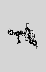 C[C@H](NC(=O)[C@@H]1C[C@@H](F)CN1C(=O)CNC(=O)c1ccc2cc(F)ccc2n1)c1ccc(N2CCN(C)[C@H](C)C2)cc1/C=C/C1CC1